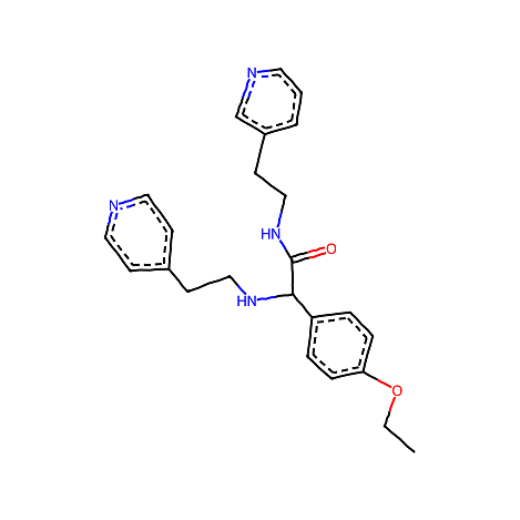 CCOc1ccc(C(NCCc2ccncc2)C(=O)NCCc2cccnc2)cc1